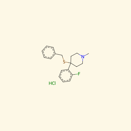 CN1CCC(SCc2ccccc2)(c2ccccc2F)CC1.Cl